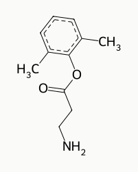 Cc1cccc(C)c1OC(=O)CCN